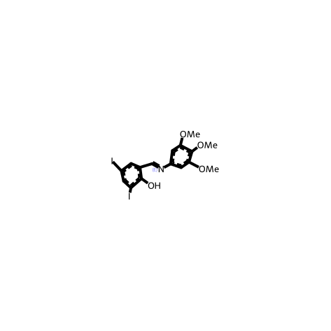 COc1cc(/N=C/c2cc(I)cc(I)c2O)cc(OC)c1OC